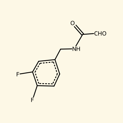 O=CC(=O)NCc1ccc(F)c(F)c1